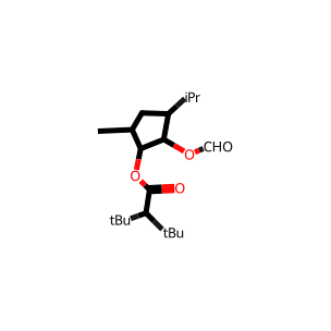 CC(C)C1CC(C)C(OC(=O)C(C(C)(C)C)C(C)(C)C)C1OC=O